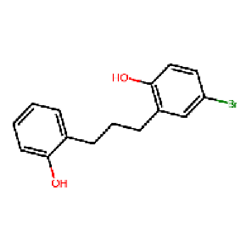 Oc1ccccc1CCCc1cc(Br)ccc1O